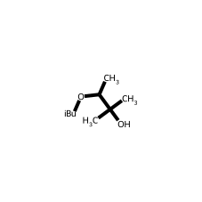 CCC(C)OC(C)C(C)(C)O